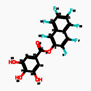 O=C(Oc1c(F)c(F)c2c(F)c(F)c(F)c(F)c2c1F)c1cc(O)c(O)c(O)c1